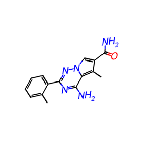 Cc1ccccc1-c1nc(N)c2c(C)c(C(N)=O)cn2n1